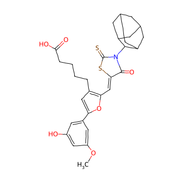 COc1cc(O)cc(-c2cc(CCCCC(=O)O)c(/C=C3\SC(=S)N(C4C5CC6CC(C5)CC4C6)C3=O)o2)c1